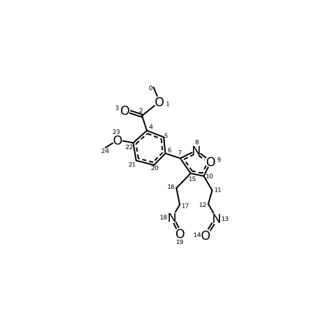 COC(=O)c1cc(-c2noc(CCN=O)c2CCN=O)ccc1OC